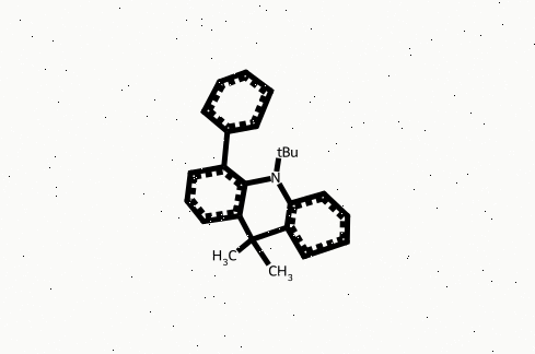 CC1(C)c2ccccc2N(C(C)(C)C)c2c(-c3ccccc3)cccc21